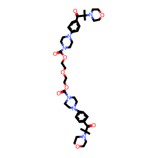 CC(C)(C(=O)c1ccc(N2CCN(C(=O)OCCOCCOC(=O)N3CCN(c4ccc(C(=O)C(C)(C)N5CCOCC5)cc4)CC3)CC2)cc1)N1CCOCC1